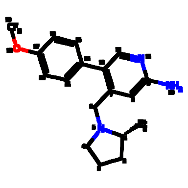 CC[C@@H]1CCCN1Cc1cc(N)ncc1-c1ccc(OC(F)(F)F)cc1